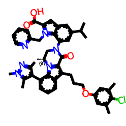 Cc1cc(OCCCc2c3n(c4c(-c5c(C)nn(C)c5C)cccc24)[C@H](C)CN(c2cc(C(C)C)cc4cc(C(=O)O)n(Cc5ccccn5)c24)C3=O)cc(C)c1Cl